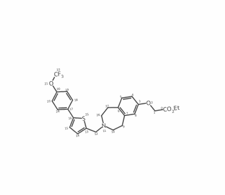 CCOC(=O)COc1ccc2c(c1)CCN(Cc1ccc(-c3ccc(OC(F)(F)F)cc3)s1)CC2